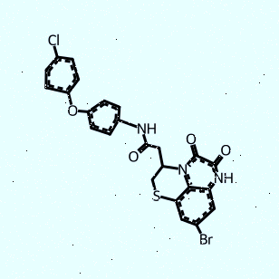 O=C(CC1CSc2cc(Br)cc3[nH]c(=O)c(=O)n1c23)Nc1ccc(Oc2ccc(Cl)cc2)cc1